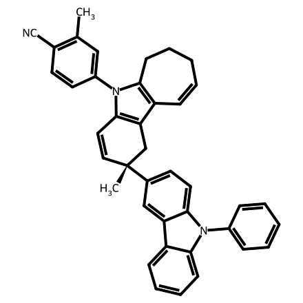 Cc1cc(-n2c3c(c4c2CCCC=C4)C[C@](C)(c2ccc4c(c2)c2ccccc2n4-c2ccccc2)C=C3)ccc1C#N